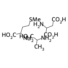 CC(N)C(=O)O.CSCCC(N)C(=O)O.NC(CC(=O)O)C(=O)O